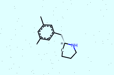 Cc1cc(C)cc(C[C@H]2CCCCN2)c1